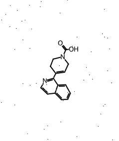 O=C(O)N1CC=C(c2nccc3ccccc23)CC1